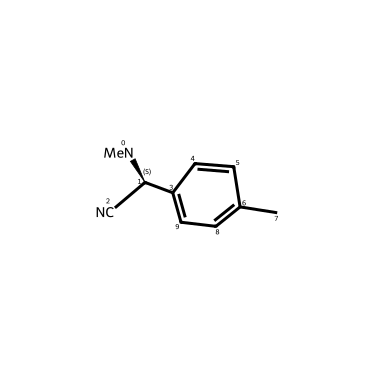 CN[C@H](C#N)c1ccc(C)cc1